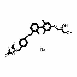 Cc1cc(OC[C@@H](O)CO)cc(C)c1-c1cccc(COc2ccc(Cn3oc(=O)[n-]c3=O)cc2)c1C.[Na+]